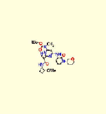 COC1CC[C@H]1NC(=O)c1cnn2c(N(C)C(=O)OC(C)(C)C)cc(Nc3cccn([C@@H]4CCCOC4)c3=O)nc12